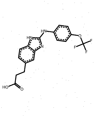 O=C(O)CCc1ccc2[nH]c(Nc3ccc(OC(F)(F)F)cc3)nc2c1